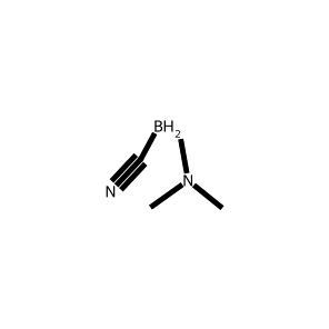 BC#N.CN(C)C